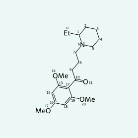 CCC1CCCCN1CCCC(=O)c1c(OC)cc(OC)cc1OC